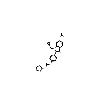 N#CC1c2ccc(OC(F)F)cc2N(CC2CC2)C1c1ccc(NC(=O)NC2CCCC2)cc1